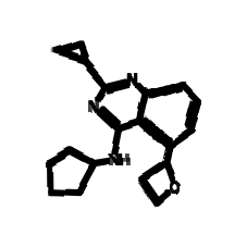 c1cc(C2CCO2)c2c(NC3CCCC3)nc(C3CC3)nc2c1